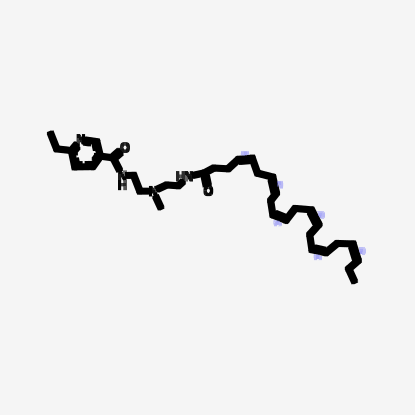 CC/C=C\C/C=C\C/C=C\C/C=C\C/C=C\C/C=C\CCC(=O)NCCN(C)CCNC(=O)c1ccc(CC)nc1